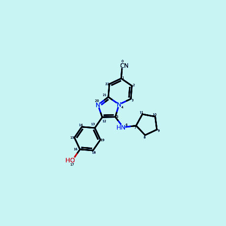 N#Cc1ccn2c(NC3CCCC3)c(-c3ccc(O)cc3)nc2c1